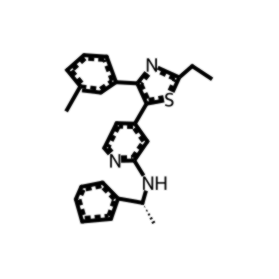 CCc1nc(-c2cccc(C)c2)c(-c2ccnc(N[C@H](C)c3ccccc3)c2)s1